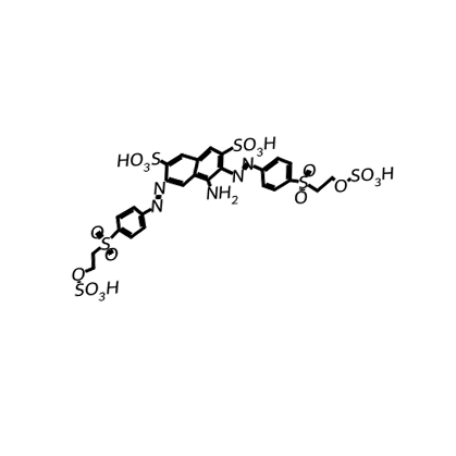 Nc1c(/N=N/c2ccc(S(=O)(=O)CCOS(=O)(=O)O)cc2)c(S(=O)(=O)O)cc2cc(S(=O)(=O)O)c(/N=N/c3ccc(S(=O)(=O)CCOS(=O)(=O)O)cc3)cc12